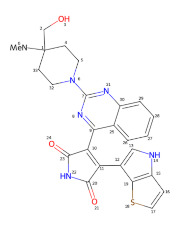 CNC1(CO)CCN(c2nc(C3=C(c4c[nH]c5ccsc45)C(=O)NC3=O)c3ccccc3n2)CC1